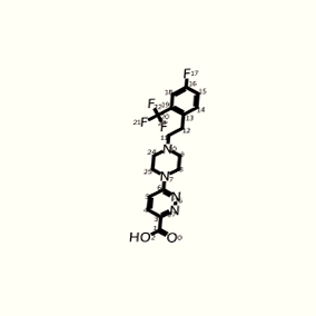 O=C(O)c1ccc(N2CCN(CCc3ccc(F)cc3C(F)(F)F)CC2)nn1